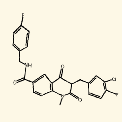 CN1C(=O)C(Cc2ccc(F)c(Cl)c2)C(=O)c2cc(C(=O)NCc3ccc(F)cc3)ccc21